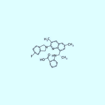 Cc1cc([C@H](C)Nc2ccccc2C(=O)O)c2nc(N3Cc4ccc(F)cc4C3)c(C)cc2c1